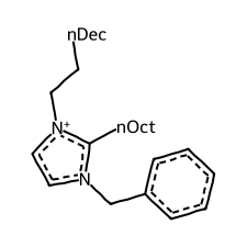 CCCCCCCCCCCC[n+]1ccn(Cc2ccccc2)c1CCCCCCCC